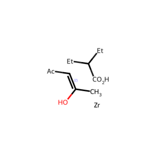 CC(=O)/C=C(/C)O.CCC(CC)C(=O)O.[Zr]